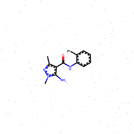 Cc1nn(C)c(N)c1C(=O)Nc1ccccc1C(C)C